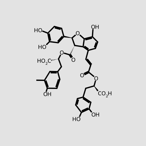 Cc1cc(C[C@@H](OC(=O)[C@H]2c3c(/C=C/C(=O)O[C@H](Cc4ccc(O)c(O)c4)C(=O)O)ccc(O)c3O[C@@H]2c2ccc(O)c(O)c2)C(=O)O)ccc1O